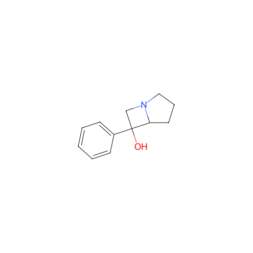 OC1(c2ccccc2)CN2CCCC21